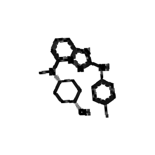 Cc1ccc(Nc2nc3cccc(N(C)[C@H]4CC[C@@H](O)CC4)n3n2)cc1